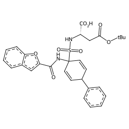 CC(C)(C)OC(=O)C[C@H](NS(=O)(=O)C1(NC(=O)c2cc3ccccc3o2)C=CC(c2ccccc2)C=C1)C(=O)O